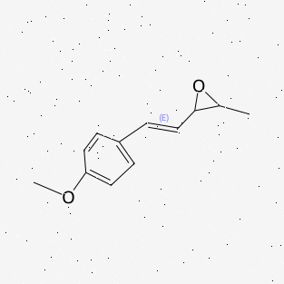 COc1ccc(/C=C/C2OC2C)cc1